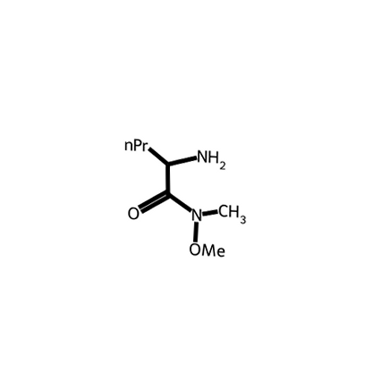 CCCC(N)C(=O)N(C)OC